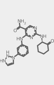 NC(=O)c1cnc(N[C@@H]2CCCCC2=O)nc1Nc1cccc(N2C=CNN2)c1